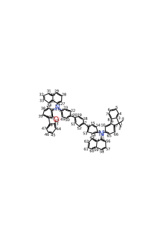 CC1(C)c2ccccc2-c2cc(N(c3ccc(-c4ccc(-c5ccc(N(c6cccc7ccccc67)c6cccc7c6oc6ccccc67)cc5)cc4)cc3)c3cccc4ccccc34)ccc21